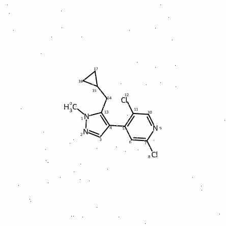 Cn1ncc(-c2cc(Cl)ncc2Cl)c1CC1CC1